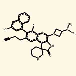 CN(C)C1CN(c2nc3c(F)c(-c4cc(O)cc5ccccc45)c(CCC#N)cc3c3c2NC(=O)C32CCCNC2)C1